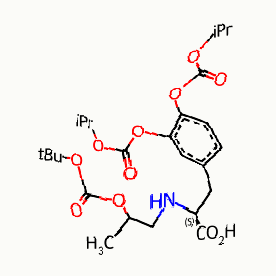 CC(C)OC(=O)Oc1ccc(C[C@H](NCC(C)OC(=O)OC(C)(C)C)C(=O)O)cc1OC(=O)OC(C)C